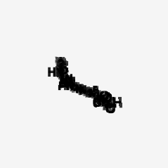 O=C1CC[C@H](N2C(=O)c3cc(F)c(N4CCC5(CC4)CC(N4CCN(c6ccc(Nc7ncnc8c7ncn8C7CC(NC(=O)Cc8ccccc8)C7)cc6)CC4)C5)cc3C2=O)C(=O)N1